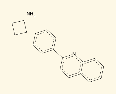 C1CCC1.N.c1ccc(-c2ccc3ccccc3n2)cc1